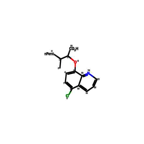 CCCCCC(C)C(Oc1ccc(Cl)c2cccnc12)C(=O)O